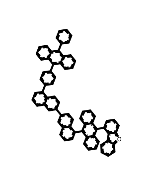 c1ccc(-c2c3ccccc3c(-c3ccc(-c4cccc5cc(-c6ccc7c(-c8c9ccccc9c(-c9cccc%10oc%11ccccc%11c9%10)c9ccccc89)cccc7c6)ccc45)cc3)c3ccccc23)cc1